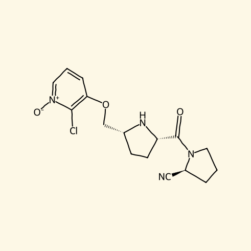 N#C[C@@H]1CCCN1C(=O)[C@@H]1CC[C@H](COc2ccc[n+]([O-])c2Cl)N1